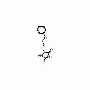 O=C1NC(=O)C(OCCOc2ccccc2)N1